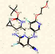 COCCOc1ncc(Nc2nc(N[C@H](C3CC3)[C@H](C)NC(=O)OC(C)(C)C)c(F)cc2C#N)cc1F